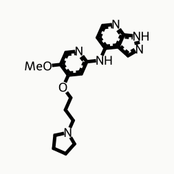 COc1cnc(Nc2ccnc3[nH]ncc23)cc1OCCCN1CCCC1